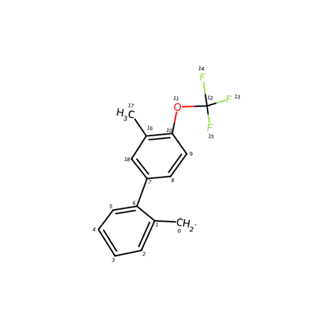 [CH2]c1ccccc1-c1ccc(OC(F)(F)F)c(C)c1